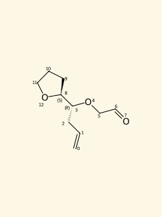 C=CC[C@@H](OCC=O)[C@@H]1CCCO1